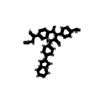 CN(c1ccc(C(=O)OC(C)(C)C)cc1)C(C(=O)Nc1ccc(-c2cc3ccccc3o2)cc1)c1ccc(C(C)(C)C)cc1